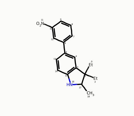 CCC1(CC)c2cc(-c3cccc([N+](=O)[O-])c3)ccc2NC1C